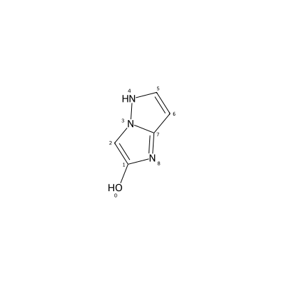 Oc1cn2[nH]ccc2n1